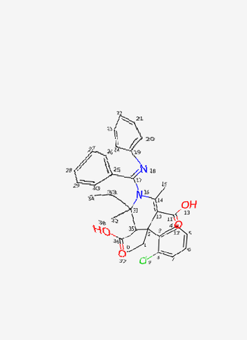 CCC1(c2ccccc2Cl)C(C(=O)O)=C(C)N(C(=Nc2ccccc2)c2ccccc2)C(C)(CC)C1C(=O)O